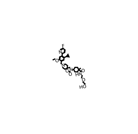 CCOc1cc(-c2ccc(F)cn2)c(C2CC2)cc1CN1CCC2(CC1)CN(C1CCC(C)(C(=O)NCCOCCO)CC1)C(=O)O2